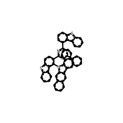 c1ccc(-c2nc(-c3ccc4sc5ccccc5c4c3-n3c4cc5ccccc5cc4c4ccc5ccccc5c43)nc(-c3cccc4sc5ccccc5c34)n2)cc1